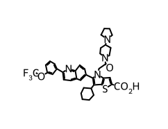 O=C(O)c1cc2c(s1)c(C1CCCCC1)c(-c1ccc3nc(-c4cccc(OC(F)(F)F)c4)ccc3c1)n2CC(=O)N1CCC(N2CCCC2)CC1